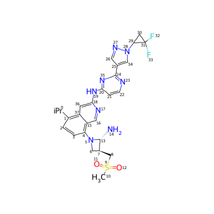 CC(C)c1ccc(N2C[C@H](CS(C)(=O)=O)[C@H]2N)c2cnc(Nc3ccnc(-c4cnn(C5CC5(F)F)c4)n3)cc12